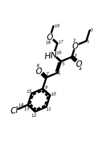 CCOC(=O)C(=CC(=O)c1cccc(Cl)c1)NCOC